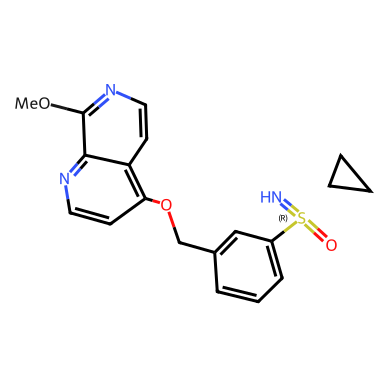 COc1nccc2c(OCc3cccc([S@](=N)(=O)C4CC4)c3)ccnc12